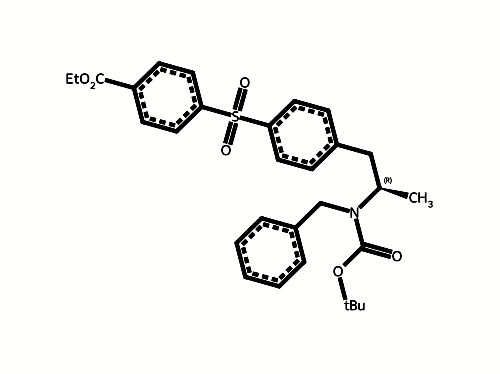 CCOC(=O)c1ccc(S(=O)(=O)c2ccc(C[C@@H](C)N(Cc3ccccc3)C(=O)OC(C)(C)C)cc2)cc1